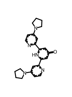 O=c1cc(-c2cc(N3CCCC3)ccn2)[nH]c(-c2cc(N3CCCC3)ccn2)c1